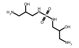 NCC(O)CNS(=O)(=O)NCC(O)CN